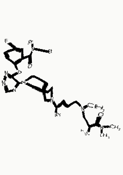 CCN(C(=O)c1cc(F)ccc1Oc1nncnc1N1CCC2(C1)CN(C(CCCN(C)CC(C)C(=O)N(C)C)C(C)C)C2)C(C)C